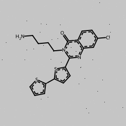 NCCCCn1c(-c2ccc(-c3cccs3)s2)nc2cc(Cl)ccc2c1=O